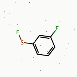 FSc1[c]c(F)ccc1